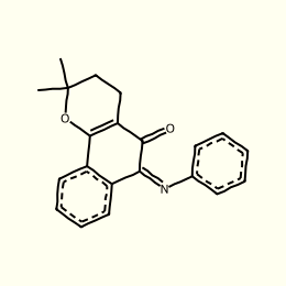 CC1(C)CCC2=C(O1)c1ccccc1C(=Nc1ccccc1)C2=O